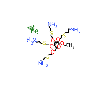 CCO[C@H]1O[C@H](COCCSCCCN)[C@H](OCCSCCCN)[C@H](OCCSCCCN)[C@H]1OCCSCCCN.Cl.Cl.Cl.Cl